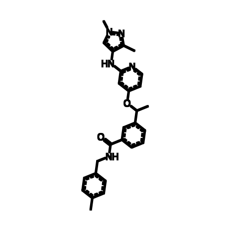 Cc1ccc(CNC(=O)c2cccc(C(C)Oc3ccnc(Nc4cn(C)nc4C)c3)c2)cc1